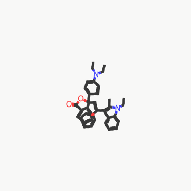 CCN(CC)c1ccc(C2(/C=C(\c3ccccc3)c3c(C)n(CC)c4ccccc34)OC(=O)c3ccccc32)cc1